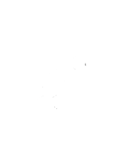 CC1(C)C(=O)C(C#N)=CC2CC(c3ccccc3)CCC21